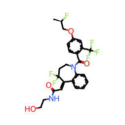 C[C@@H](F)COc1ccc(C(=O)N2CCC(F)(F)/C(=C\C(=O)NCCO)c3ccccc32)c(C(F)(F)F)c1